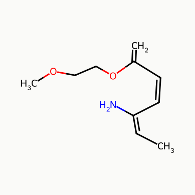 C=C(/C=C\C(N)=C/C)OCCOC